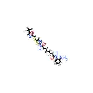 CC(C)(C)c1cnc(CSc2cnc(NC(=O)CCCCCCC(=O)Nc3ccccc3N)s2)o1